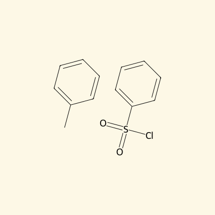 Cc1ccccc1.O=S(=O)(Cl)c1ccccc1